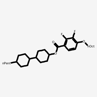 CCCCCCCCOc1ccc(C(=O)OC2CCC(C3CCC(CCCCC)CC3)CC2)c(F)c1F